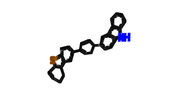 C1=Cc2sc3ccc(C4=CCC(c5ccc6[nH]c7ccccc7c6c5)C=C4)cc3c2CC1